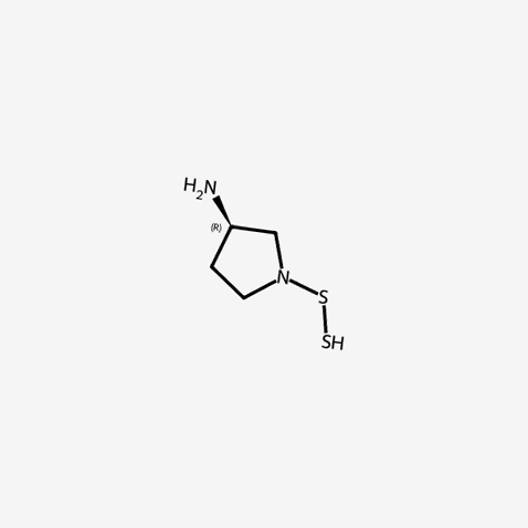 N[C@@H]1CCN(SS)C1